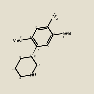 COc1cc(C(F)(F)F)c(SC)cc1[C@H]1CCCNC1